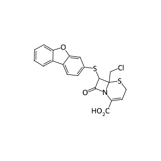 O=C(O)C1=CCSC2(CCl)C(Sc3ccc4c(c3)oc3ccccc34)C(=O)N12